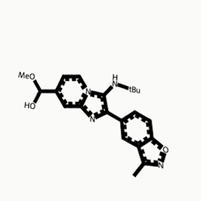 COC(O)c1ccn2c(NC(C)(C)C)c(-c3ccc4onc(C)c4c3)nc2c1